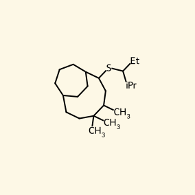 CCC(SC1CC(C)C(C)(C)CCC2CCCC1CC2)C(C)C